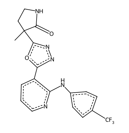 CC1(c2nnc(-c3cccnc3Nc3ccc(C(F)(F)F)cc3)o2)CCNC1=O